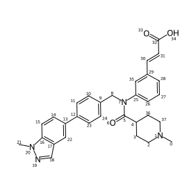 CN1CCC(C(=O)N(Cc2ccc(-c3ccc4c(cnn4C)c3)cc2)c2cccc(/C=C/C(=O)O)c2)CC1